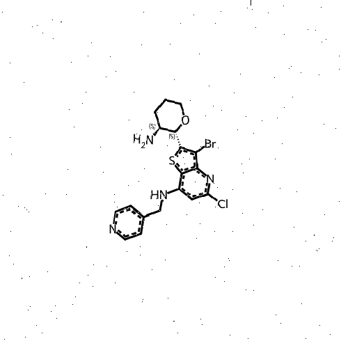 N[C@H]1CCCO[C@@H]1c1sc2c(NCc3ccncc3)cc(Cl)nc2c1Br